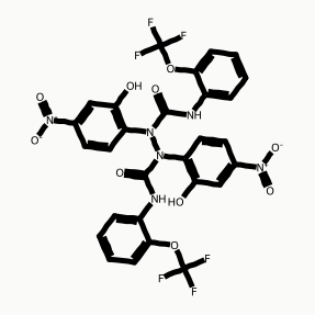 O=C(Nc1ccccc1OC(F)(F)F)N(c1ccc([N+](=O)[O-])cc1O)N(C(=O)Nc1ccccc1OC(F)(F)F)c1ccc([N+](=O)[O-])cc1O